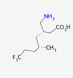 C[C@H](CCC(F)(F)F)C[C@H](CN)CC(=O)O